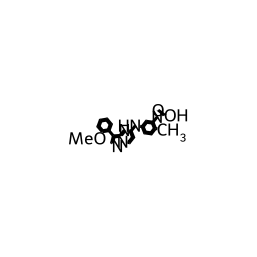 COc1ccccc1-c1cnn2ccc(Nc3ccc(C)c(N4O[C@@H]4O)c3)nc12